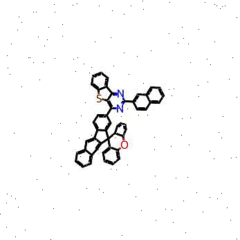 C1=CC2Oc3ccccc3C3(c4cc(-c5nc(-c6ccc7ccccc7c6)nc6c5sc5ccccc56)ccc4-c4cc5ccccc5cc43)C2C=C1